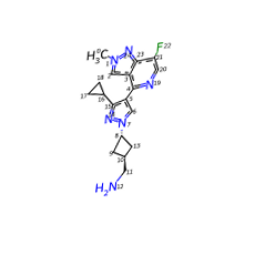 Cn1cc2c(-c3cn([C@H]4C[C@H](CN)C4)nc3C3CC3)ncc(F)c2n1